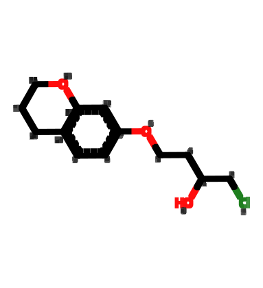 OC(CCl)CCOc1ccc2c(c1)OCCC2